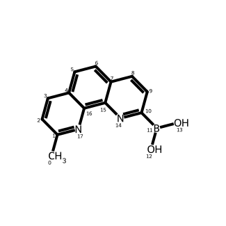 Cc1ccc2ccc3ccc(B(O)O)nc3c2n1